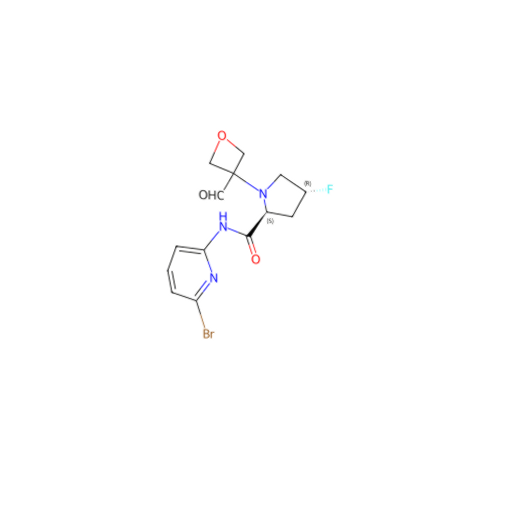 O=CC1(N2C[C@H](F)C[C@H]2C(=O)Nc2cccc(Br)n2)COC1